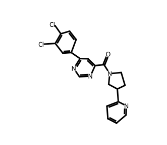 O=C(c1cc(-c2ccc(Cl)c(Cl)c2)ncn1)N1CCC(c2ccccn2)C1